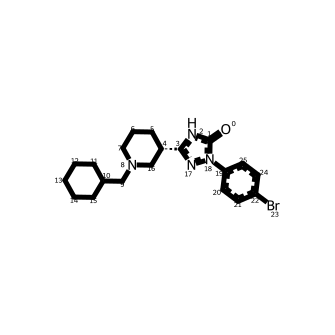 O=c1[nH]c([C@H]2CCCN(CC3CCCCC3)C2)nn1-c1ccc(Br)cc1